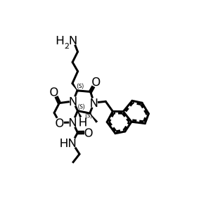 CCNC(=O)N1OCC(=O)N2[C@@H]1[C@H](C)N(Cc1cccc3ccccc13)C(=O)[C@@H]2CCCCN